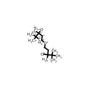 CC(C)(C)C(C)(Cl)CCOCCC(C)(Cl)C(C)(C)C